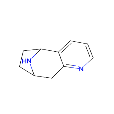 c1cnc2c(c1)C1CCC(C2)N1